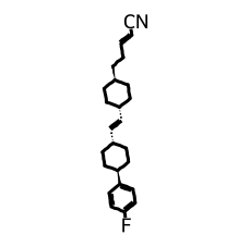 N#CC=CCC[C@H]1CC[C@H](C=C[C@H]2CC[C@H](c3ccc(F)cc3)CC2)CC1